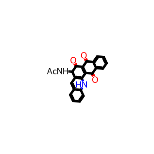 CC(=O)NC1C(=O)C2=C(C(=O)c3ccccc3C2=O)C2=C1C=C1C=CC=CC1N2